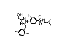 Cc1ccc(C)c(Cc2nc(CO)nn2-c2ccc(S(=O)(=O)N=CN(C)C)cc2F)c1